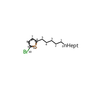 CCCCCCCCCCCCc1ccc(Br)s1